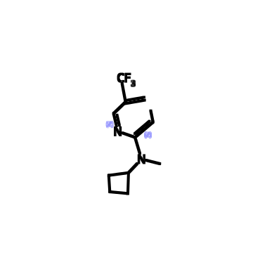 C=C(/C=N\C(=C/C)N(C)C1CCC1)C(F)(F)F